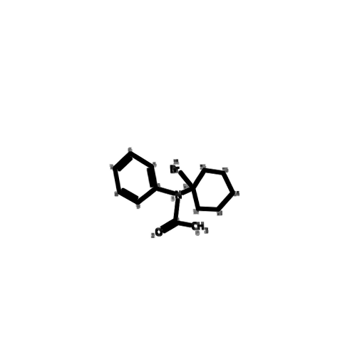 CC(=O)N(c1ccccc1)C1(Br)CCCCC1